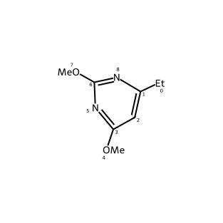 CCc1cc(OC)nc(OC)n1